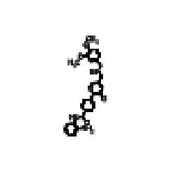 COc1ccc(CNCc2cnc(-c3ccc(C(=O)Nc4ccccc4N)cc3)c(Cl)c2)cc1OC